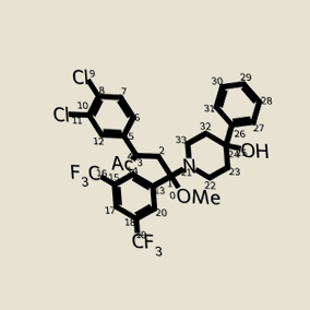 COC(CC(C(C)=O)c1ccc(Cl)c(Cl)c1)(c1cc(C(F)(F)F)cc(C(F)(F)F)c1)N1CCC(O)(c2ccccc2)CC1